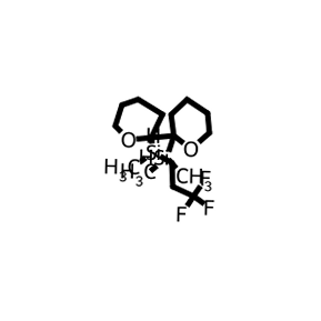 C[SiH](C)C1(C2([SiH](C)CCC(F)(F)F)CCCCO2)CCCCO1